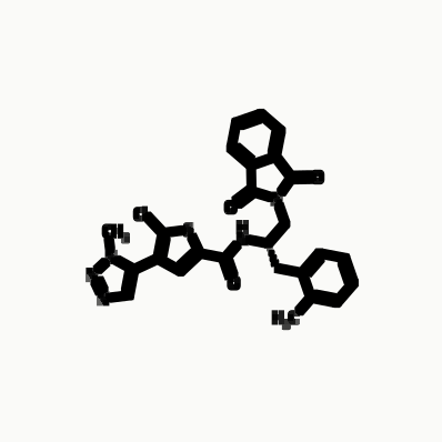 Cc1ccccc1C[C@@H](CN1C(=O)c2ccccc2C1=O)NC(=O)c1cc(-c2cnnn2C)c(Cl)s1